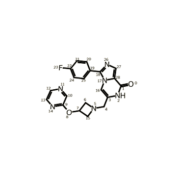 O=c1[nH]c(CN2CC(Oc3cnccn3)C2)cn2c(-c3ccc(F)cc3)ncc12